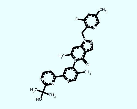 Cc1cnc(Cn2ncc3c(=O)n(-c4cc(-c5ccnc(C(C)(C)O)n5)ncc4C)c(C)cc32)c(F)c1